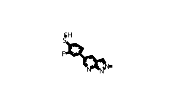 Cn1cc2cc(-c3ccc(SS)c(F)c3)cnc2n1